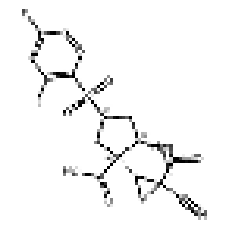 CO[C@@H]1C[C@H](S(=O)(=O)c2ccc(F)cc2Cl)C[C@@]1(C(=O)O)C1CC1(C#N)C(N)=O